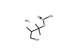 CC(CO)C(C)(C)O[Si](=O)O.N